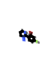 Fc1ccc(C2=NCCCN2)c(Br)c1